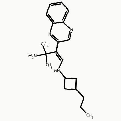 CCCC1CC(N/C=C(/c2cnc3ccccc3n2)C(C)(C)N)C1